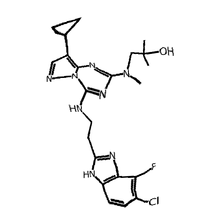 CN(CC(C)(C)O)c1nc(NCCc2nc3c(F)c(Cl)ccc3[nH]2)n2ncc(C3CC3)c2n1